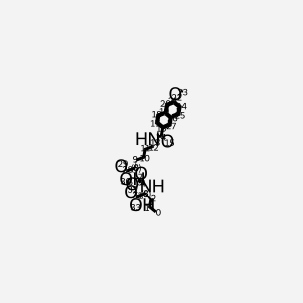 CCC[C@H](NC(=O)O[C@@H](CCCCNC(=O)c1ccc2cc(OC)ccc2c1)C(=O)O)C(=O)O